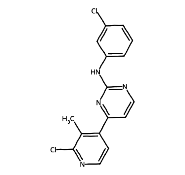 Cc1c(-c2ccnc(Nc3cccc(Cl)c3)n2)ccnc1Cl